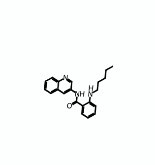 CCCCCNc1ccccc1C(=O)Nc1cnc2ccccc2c1